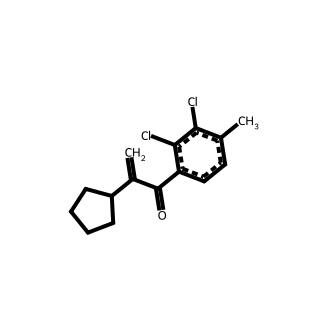 C=C(C(=O)c1ccc(C)c(Cl)c1Cl)C1CCCC1